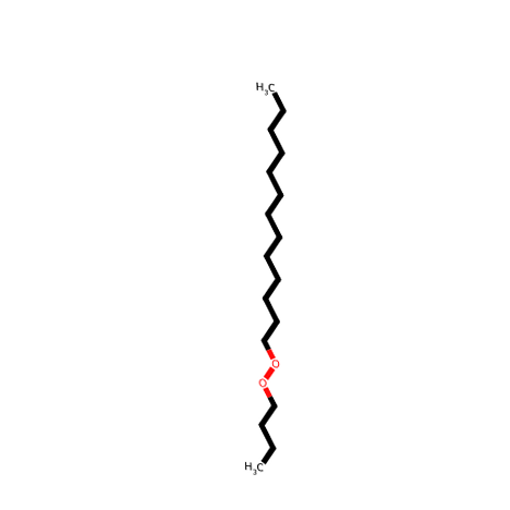 CCCCCCCCCCCCCOOCCCC